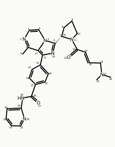 Cc1nccn2c([C@@H]3CCCN3C(=O)C=CCN(C)C)nc(-c3ccc(C(=O)Nc4ccccn4)cc3)c12